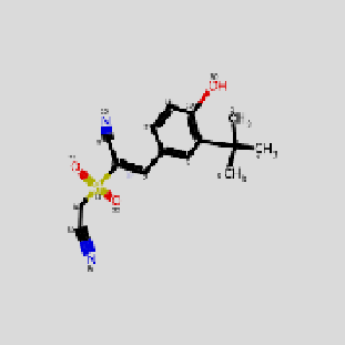 CC(C)(C)c1cc(/C=C(\C#N)S(=O)(=O)CC#N)ccc1O